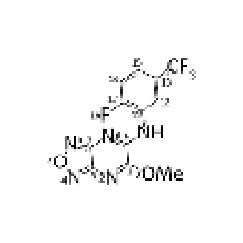 COc1nc2nonc2nc1Nc1cc(C(F)(F)F)ccc1F